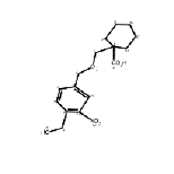 O=C(O)C1(COCc2ccc(CO)c([N+](=O)[O-])c2)CCCCC1